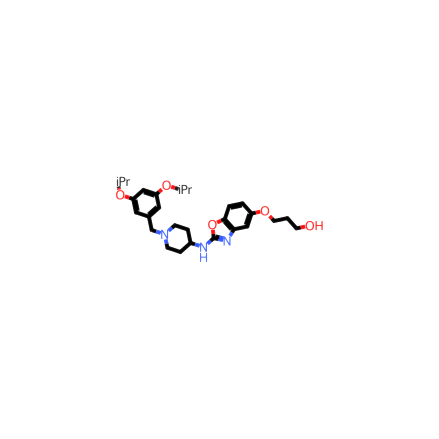 CC(C)Oc1cc(CN2CCC(Nc3nc4cc(OCCCO)ccc4o3)CC2)cc(OC(C)C)c1